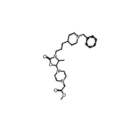 COC(=O)CN1CCN(C2OC(=O)N(CCCC3CCN(Cc4ccccc4)CC3)C2C)CC1